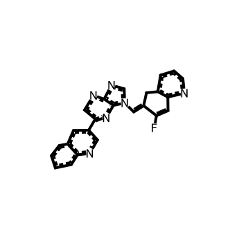 FC1=Cc2ncccc2CC1=Cn1cnc2ncc(-c3cnc4ccccc4c3)nc21